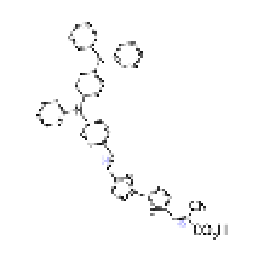 N#C/C(=C\c1ccc(-c2ccc(/C=C/c3ccc(N(C4=CC=C(N(c5ccccc5)c5ccccc5)CC4)c4ccccc4)cc3)s2)s1)C(=O)O